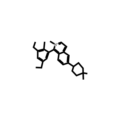 CCc1cc(CC)c(C)c(-c2c3ccc(C4CCC(C)(C)CC4)cc3cc[n+]2C)c1